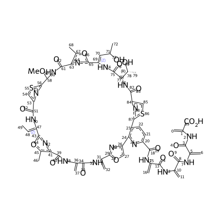 C=C(NC(=O)C(=C)NC(=O)C(=C)NC(=O)C(=C)NC(=O)c1ccc2c(n1)-c1coc(n1)C(=C)NC(=O)C(=C)NC(=O)c1nc(oc1C)/C(=C/C)NC(=O)c1csc(n1)C(OC)NC(=O)c1nc(oc1C)/C(=C/C(C)O)NC(=O)[C@H]([C@@H](C)O)NC(=O)c1csc-2n1)C(=O)O